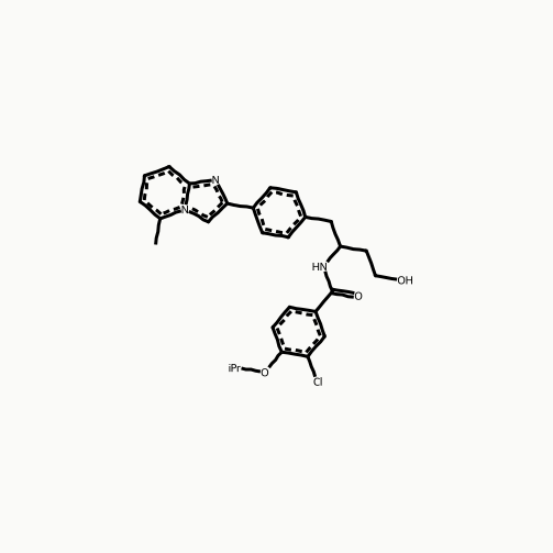 Cc1cccc2nc(-c3ccc(CC(CCO)NC(=O)c4ccc(OC(C)C)c(Cl)c4)cc3)cn12